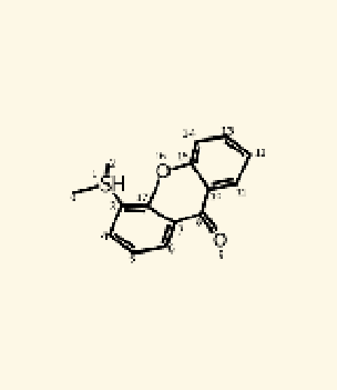 C[SH](C)c1cccc2c(=O)c3ccccc3oc12